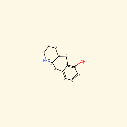 Oc1cccc2c1CC1CCCNC1C2